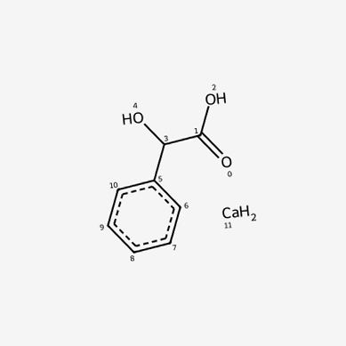 O=C(O)C(O)c1ccccc1.[CaH2]